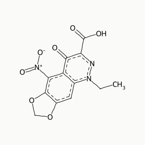 CCn1nc(C(=O)O)c(=O)c2c([N+](=O)[O-])c3c(cc21)OCO3